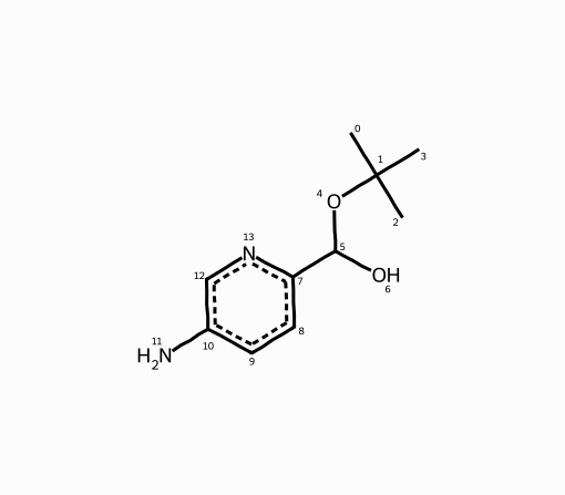 CC(C)(C)OC(O)c1ccc(N)cn1